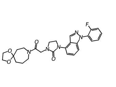 O=C(CN1CCN(c2cccc3c2cnn3-c2ccccc2F)C1=O)N1CCCC2(CC1)OCCO2